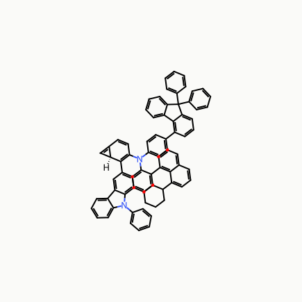 C1=CC(N(c2ccc(-c3cccc4c3-c3ccccc3C4(c3ccccc3)c3ccccc3)cc2)c2ccccc2-c2cccc3cccc(C4CCCCC4)c23)=C(c2ccc3c(c2)c2ccccc2n3-c2ccccc2)[C@H]2C=C12